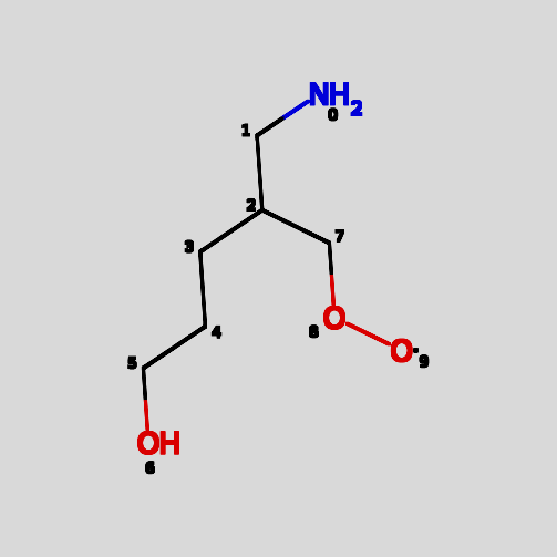 NCC(CCCO)CO[O]